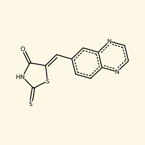 O=C1NC(=S)S/C1=C\c1ccc2nccnc2c1